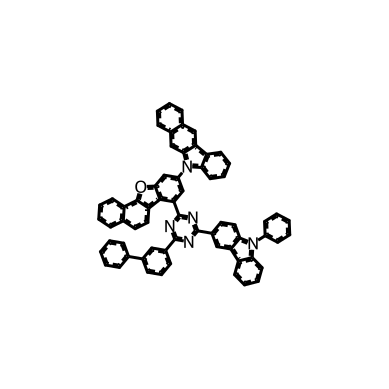 c1ccc(-c2cccc(-c3nc(-c4ccc5c(c4)c4ccccc4n5-c4ccccc4)nc(-c4cc(-n5c6ccccc6c6cc7ccccc7cc65)cc5oc6c7ccccc7ccc6c45)n3)c2)cc1